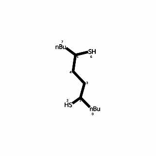 CCCCC(S)CCC(S)CCCC